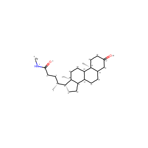 CC(C)NC(=O)CC[C@@H](C)[C@H]1CCC2C3CCC4CC(=O)CC[C@]4(C)C3CC[C@@]21C